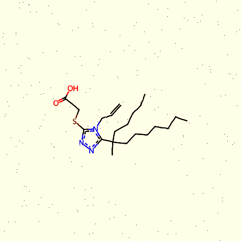 C=CCn1c(SCC(=O)O)nnc1C(C)(CCCCC)CCCCCCC